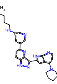 CCCCCNc1cncc(-c2ccc3[nH]nc(-c4cc5c(N6CCCCC6)ccnc5[nH]4)c3n2)c1